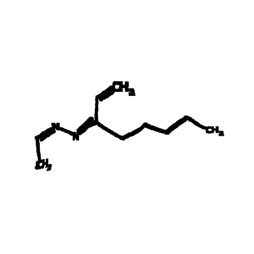 C=C/C(CCCCC)=N\N=C/C